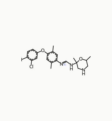 Cc1cc(Oc2ccc(I)c(Cl)c2)c(C)cc1/N=C/NC1(C)CNCC(C)O1